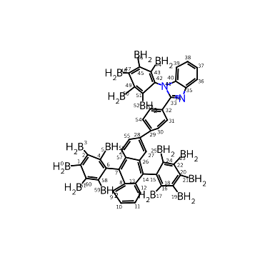 Bc1c(B)c(B)c(-c2c3ccccc3c(-c3c(B)c(B)c(B)c(B)c3B)c3cc(-c4ccc(-c5nc6ccccc6n5-c5c(B)c(B)c(B)c(B)c5B)cc4)ccc23)c(B)c1B